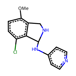 COc1ccc(Cl)c2c1CNC2Nc1ccncc1